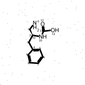 NC[C@H](Cc1ccccc1)NC(=O)O